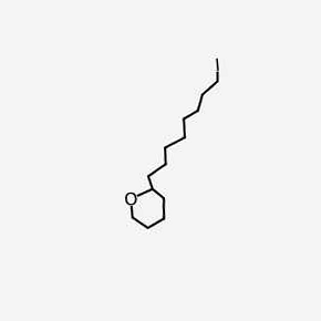 ICCCCCCCCC1CCCCO1